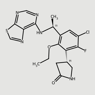 CCOc1c([C@H](C)Nc2ncnc3scnc23)cc(Cl)c(F)c1[C@@H]1CNC(=O)C1